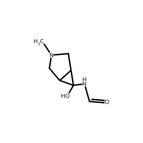 CN1CC2C(C1)C2(O)NC=O